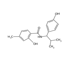 Cc1ccc(C(=O)NC(c2ccc(O)cc2)C(C)C)c(O)c1